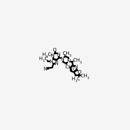 CCn1c(CC#N)nc2c(N3C[C@@H](C)N(C(C)c4ccc5c(n4)OC(C)(C)C5)C[C@@H]3C)nc(=O)n(C)c21